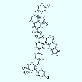 CN1CCN(CC2COc3cc(S(=O)(=O)NC(=O)c4ccc(N5CCN(CC6=C(c7ccc(Cl)cc7)CC(C)(C)CC6)CC5)cc4N4CCOc5nc6[nH]ccc6cc54)cc([N+](=O)[O-])c3N2)CC1